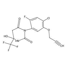 C#CCOc1cc(N2C(=O)CC(O)(C(F)(F)F)NC2=O)c(F)cc1Cl